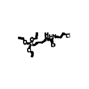 CCO[Si](CCCNC(=O)NCCCl)(OCC)OCC